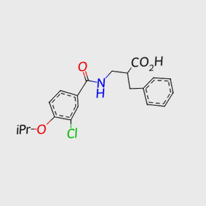 CC(C)Oc1ccc(C(=O)NCC(Cc2ccccc2)C(=O)O)cc1Cl